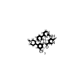 Cc1ncc(C(=O)Nc2cc(C3CCN(C)CC3)cc(C(F)(F)F)c2)cc1Nc1nccc(-c2cccnc2)n1